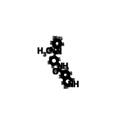 Cn1c([C@H]2CCC[C@@H](NC(=O)c3ccc4c(c3)CCNC4)C2)nc2ccccc21